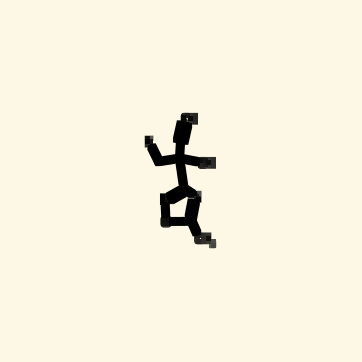 C#CC(O)(CF)c1noc(C)n1